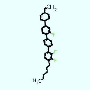 C=CC1CCC(c2ccc(-c3ccc(-c4ccc(CCCCCC)c(F)c4F)cc3)c(F)c2)CC1